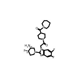 N[C@@H]1CN(c2nc3cc(F)c(F)cc3n2CC(=O)N2CCC(C(=O)N3CCCCCC3)CC2)CC[C@H]1F